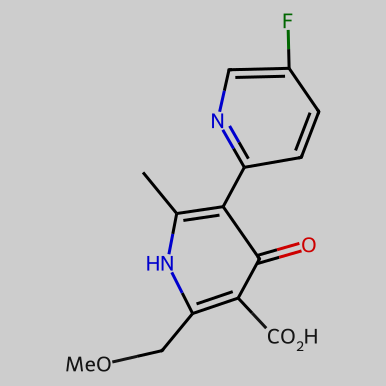 COCc1[nH]c(C)c(-c2ccc(F)cn2)c(=O)c1C(=O)O